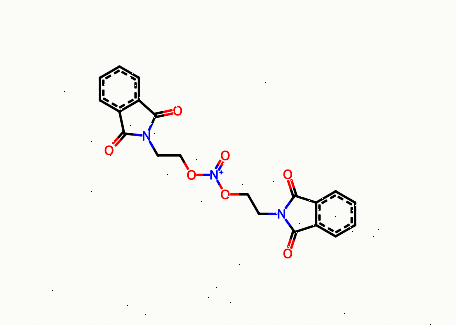 O=C1c2ccccc2C(=O)N1CCO[N+](=O)OCCN1C(=O)c2ccccc2C1=O